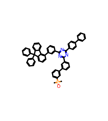 CP(C)(=O)c1cccc(-c2cccc(-c3nc(-c4ccc(-c5ccccc5)cc4)nc(-c4cccc(-c5cccc6c5-c5ccccc5C6(c5ccccc5)c5ccccc5)c4)n3)c2)c1